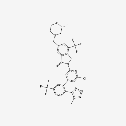 C[C@@H]1CN(Cc2cc3c(c(C(F)(F)F)c2)CN(c2cc(-c4cc(C(F)(F)F)ccc4-c4nncn4C)cc(Cl)n2)C3=O)CCO1